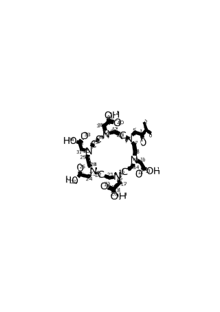 CC(C)C(=O)CN1CCN(CC(=O)O)CCN(CC(=O)O)CCN(CC(=O)O)CCN(CC(=O)O)CCN(CC(=O)O)CC1